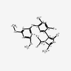 COc1nc(OC)nc(Oc2cc(-c3c(Cl)nc(C)n3C(F)F)c(F)cc2Cl)n1